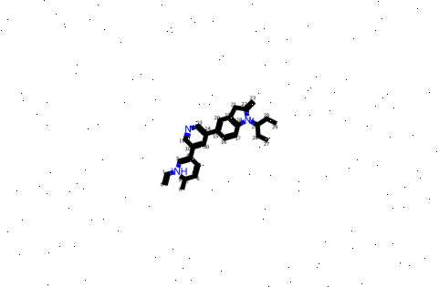 C=CN/C=C(\C=C/C(C)C)c1cncc(-c2ccc3c(c2)CC(=C)N3C(CC)CC)c1